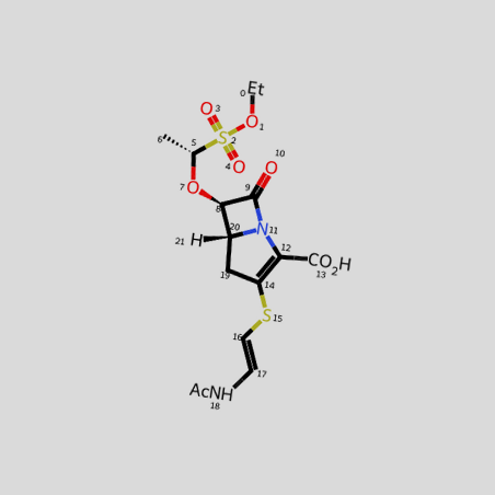 CCOS(=O)(=O)[C@@H](C)O[C@H]1C(=O)N2C(C(=O)O)=C(SC=CNC(C)=O)C[C@H]12